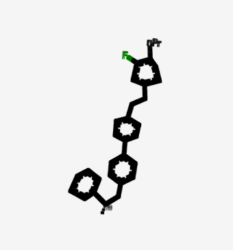 CCCc1ccc(CCc2ccc(-c3ccc(C[C@H](C)c4ccccc4)cc3)cc2)cc1F